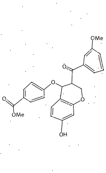 COC(=O)c1ccc(OC2c3ccc(O)cc3OCC2C(=O)c2cccc(OC)c2)cc1